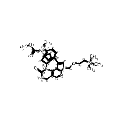 COC(=O)N[C@@H]1CC[C@@H](N2C(=O)NCc3cnc4c(c(-c5ccc(OC)cc5)cn4COCC[Si](C)(C)C)c32)C1